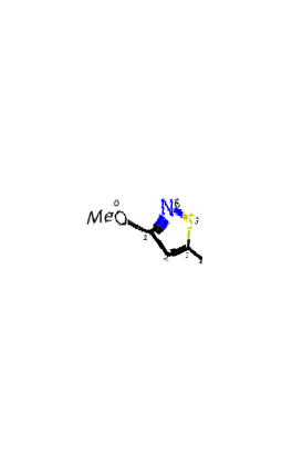 COc1cc(C)sn1